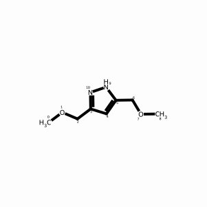 COCc1cc(COC)[nH]n1